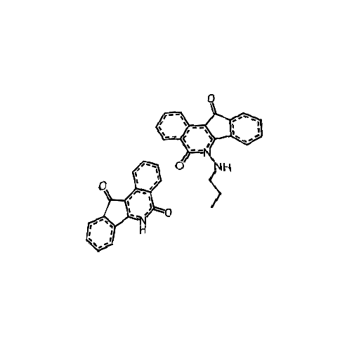 CCCNn1c2c(c3ccccc3c1=O)C(=O)c1ccccc1-2.O=C1c2ccccc2-c2[nH]c(=O)c3ccccc3c21